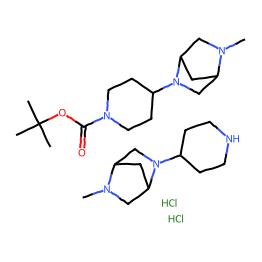 CN1CC2CC1CN2C1CCN(C(=O)OC(C)(C)C)CC1.CN1CC2CC1CN2C1CCNCC1.Cl.Cl